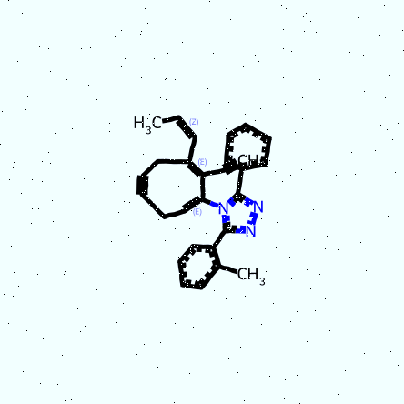 C#CC1=C(\C=C/C)CC#CC/C=C\1n1c(-c2ccccc2)nnc1-c1ccccc1C